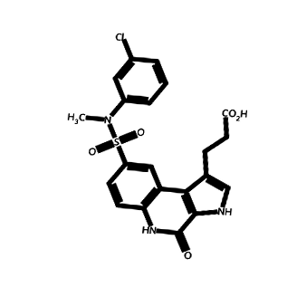 CN(c1cccc(Cl)c1)S(=O)(=O)c1ccc2[nH]c(=O)c3[nH]cc(CCC(=O)O)c3c2c1